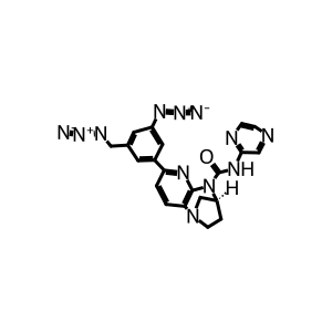 [N-]=[N+]=NCc1cc(N=[N+]=[N-])cc(-c2ccc3c(n2)N(C(=O)Nc2cnccn2)[C@H]2CCN3C2)c1